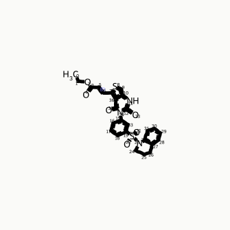 CCOC(=O)/C=C/c1scc2[nH]c(=O)n(-c3cccc(S(=O)(=O)N4CCCc5ccccc54)c3)c(=O)c12